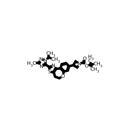 Cc1nc(-c2nc3c(s2)CCOc2cc(C4CN(C(=O)OC(C)(C)C)C4)ccc2-3)n(C(C)C)n1